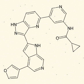 O=C(Nc1cncc(-c2ccc3[nH]nc(-c4cc5c(-c6ccoc6)cncc5[nH]4)c3n2)c1)C1CC1